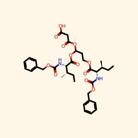 CC[C@H](C)[C@H](NC(=O)OCc1ccccc1)C(=O)OCCC(OC(=O)CC(=O)O)OC(=O)[C@@H](NC(=O)OCc1ccccc1)[C@@H](C)CC